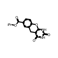 CC(C)OC(=O)c1ccc2c(c1)Cc1c([nH]c(=O)[nH]c1=O)O2